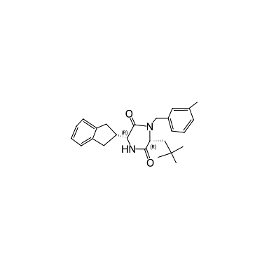 Cc1cccc(CN2C(=O)[C@@H](C3Cc4ccccc4C3)NC(=O)[C@H]2CC(C)(C)C)c1